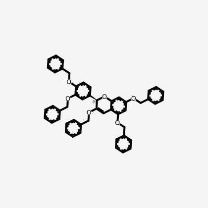 C1=C(OCc2ccccc2)[C@@H](c2ccc(OCc3ccccc3)c(OCc3ccccc3)c2)Oc2cc(OCc3ccccc3)cc(OCc3ccccc3)c21